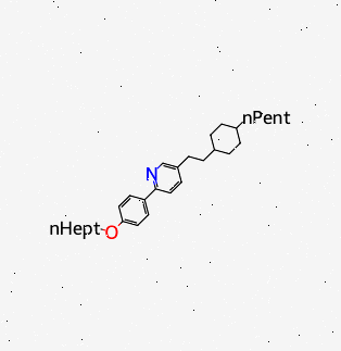 CCCCCCCOc1ccc(-c2ccc(CCC3CCC(CCCCC)CC3)cn2)cc1